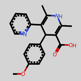 COc1ccc(C2C(C(=O)O)=C(C)NC(C)=C2c2ccccn2)cc1